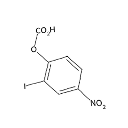 O=C(O)Oc1ccc([N+](=O)[O-])cc1I